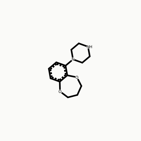 c1cc2c(c(N3CCNCC3)c1)OCCCO2